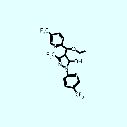 OC1C(C(OCI)c2ccc(C(F)(F)F)cn2)C(C(F)(F)F)=NN1c1ccc(C(F)(F)F)cn1